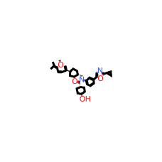 C=C(/C=C\C(OC)=C(C)C)[C@H]1CC[C@H](CN(c2cccc(-c3cnc(C4CC4)o3)c2)C(=O)[C@H]2CC[C@H](O)CC2)CC1